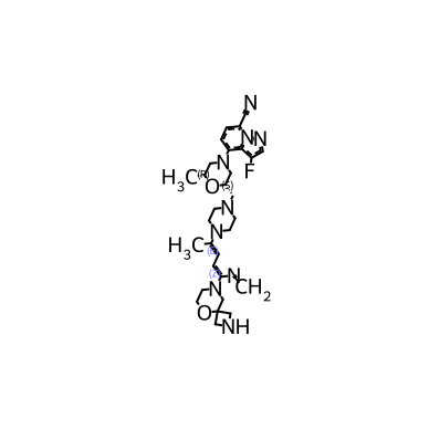 C=N/C(=C\C=C(/C)N1CCN(C[C@H]2CN(c3ccc(C#N)n4ncc(F)c34)C[C@@H](C)O2)CC1)N1CCOC2(CNC2)C1